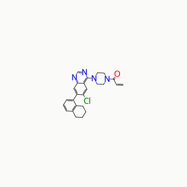 C=CC(=O)N1CCN(c2ncnc3cc(-c4cccc5c4CCCC5)c(Cl)cc23)CC1